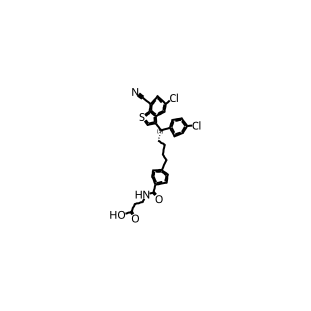 N#Cc1cc(Cl)cc2c([C@@H](CCCCc3ccc(C(=O)NCCC(=O)O)cc3)c3ccc(Cl)cc3)csc12